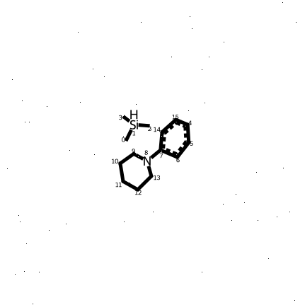 C[SiH](C)C.c1ccc(N2CCCCC2)cc1